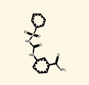 NC(=O)c1cccc(NC(=O)NS(=O)(=O)c2ccccc2)c1